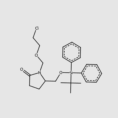 CC(C)(C)[Si](OCC1CCC(=O)N1COCCCl)(c1ccccc1)c1ccccc1